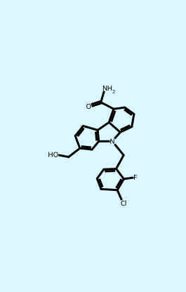 NC(=O)c1cccc2c1c1[c]cc(CO)cc1n2Cc1cccc(Cl)c1F